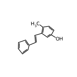 Cc1ccc(O)cc1C=Cc1ccccc1